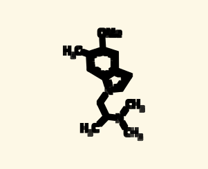 COc1cc2ccn(CC(C)N(C)C)c2cc1C